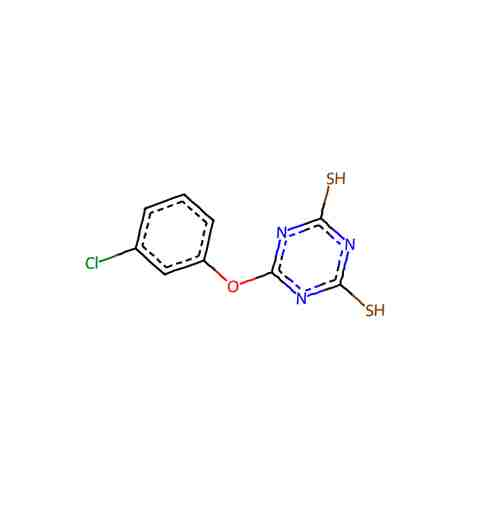 Sc1nc(S)nc(Oc2cccc(Cl)c2)n1